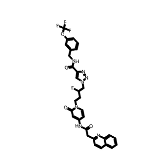 O=C(Cc1ccc2ccccc2n1)Nc1ccn(CCC(F)Cn2cc(C(=O)NCc3cccc(OC(F)(F)F)c3)nn2)c(=O)c1